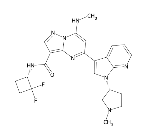 CNc1cc(-c2cn([C@@H]3CCN(C)C3)c3ncccc23)nc2c(C(=O)N[C@H]3CCC3(F)F)cnn12